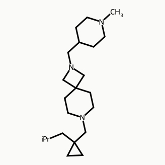 CC(C)CC1(CN2CCC3(CC2)CN(CC2CCN(C)CC2)C3)CC1